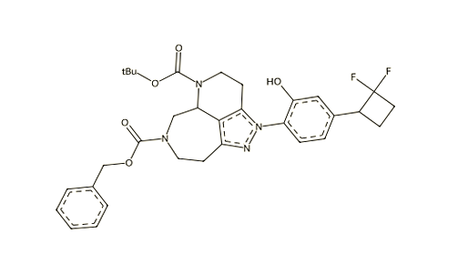 CC(C)(C)OC(=O)N1CCc2c3c(nn2-c2ccc(C4CCC4(F)F)cc2O)CCN(C(=O)OCc2ccccc2)CC31